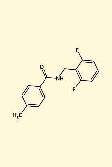 Cc1ccc(C(=O)NCc2c(F)cccc2F)cc1